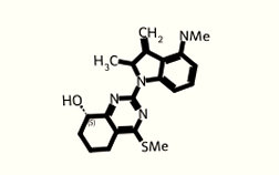 C=C1c2c(NC)cccc2N(c2nc(SC)c3c(n2)[C@@H](O)CCC3)C1C